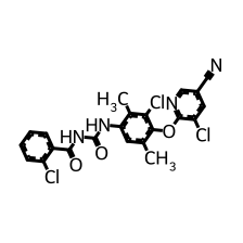 Cc1cc(NC(=O)NC(=O)c2ccccc2Cl)c(C)c(Cl)c1Oc1ncc(C#N)cc1Cl